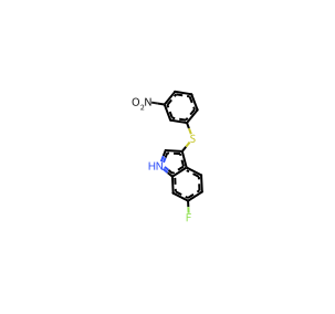 O=[N+]([O-])c1cccc(Sc2c[nH]c3cc(F)ccc23)c1